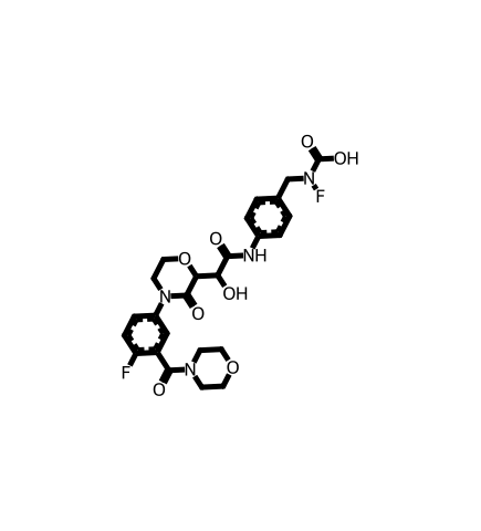 O=C(Nc1ccc(CN(F)C(=O)O)cc1)C(O)C1OCCN(c2ccc(F)c(C(=O)N3CCOCC3)c2)C1=O